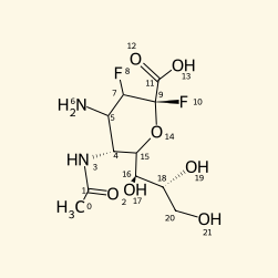 CC(=O)N[C@@H]1C(N)C(F)[C@](F)(C(=O)O)OC1[C@H](O)[C@H](O)CO